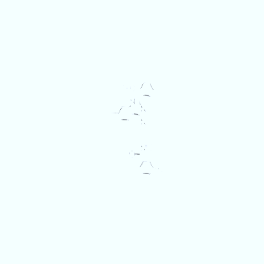 COc1cccc(C(=O)NCCCN(C)c2nc(-c3ccccc3O)nc3cc(C)ccc23)c1